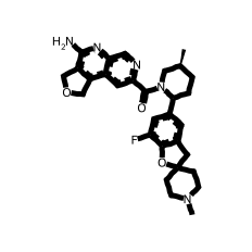 C[C@H]1CCC(c2cc(F)c3c(c2)CC2(CCN(C)CC2)O3)N(C(=O)c2cc3c4c(c(N)nc3cn2)COC4)C1